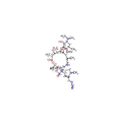 CC[C@H]1OC(=O)[C@H](C)C(=O)[C@H](C)[C@@H](O[C@@H]2OC(C)CC(N(C)C)C2O)[C@](C)(OC)C[C@@H](C)CN[C@H](CCN(C)C)[C@H]2N(CCCCN=[N+]=[N-])C(=O)O[C@]12C